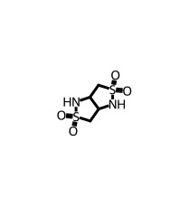 O=S1(=O)CC2NS(=O)(=O)CC2N1